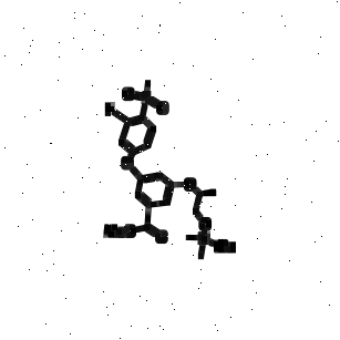 COC(=O)c1cc(Oc2ccc(S(C)(=O)=O)c(F)c2)cc(O[C@@H](C)CO[Si](C)(C)C(C)(C)C)c1